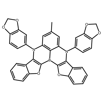 Cc1cc2c3c(c1)N(c1ccc4c(c1)OCO4)c1c(oc4ccccc14)B3c1oc3ccccc3c1N2c1ccc2c(c1)OCO2